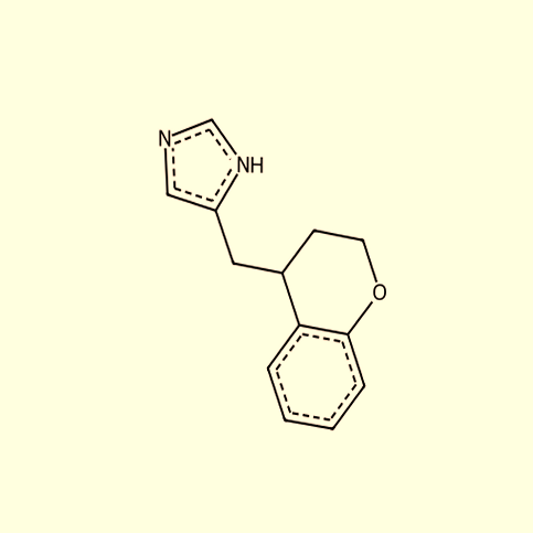 c1ccc2c(c1)OCCC2Cc1cnc[nH]1